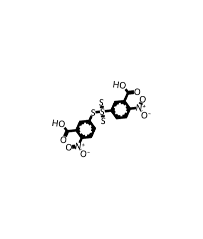 O=C(O)c1cc(SS(=S)(=S)c2ccc([N+](=O)[O-])c(C(=O)O)c2)ccc1[N+](=O)[O-]